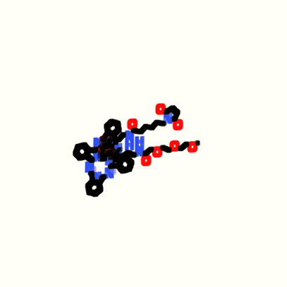 COCCOCCOCC(=O)NCCC[Si](C)(C)O[Si]1(O[Si](C)(C)CCCNC(=O)CCCCCN2C(=O)C=CC2=O)n2c3c4ccccc4c2/N=C2N=C(/N=c4/c5ccccc5/c(n41)=N/C1=NC(=N\3)/c3ccccc31)c1ccccc1\2